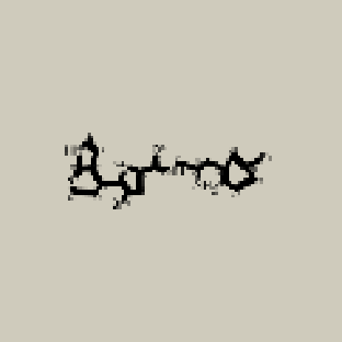 N[C@@H](CNC(=O)c1cc(Br)c(-c2ccnc3[nH]ccc23)s1)Cc1cccc(F)c1